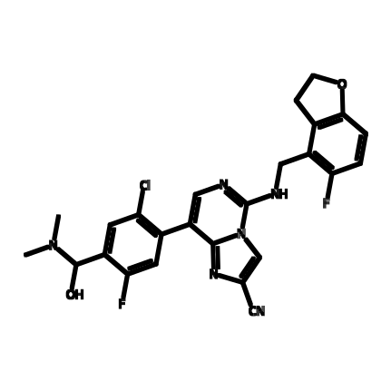 CN(C)C(O)c1cc(Cl)c(-c2cnc(NCc3c(F)ccc4c3CCO4)n3cc(C#N)nc23)cc1F